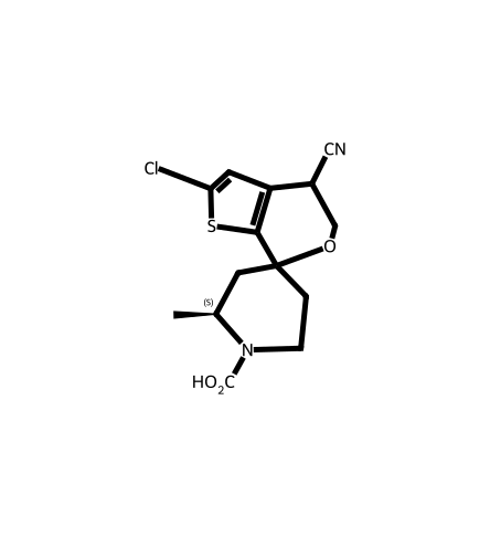 C[C@H]1CC2(CCN1C(=O)O)OCC(C#N)c1cc(Cl)sc12